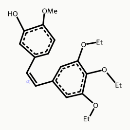 CCOc1cc(/C=C\c2ccc(OC)c(O)c2)cc(OCC)c1OCC